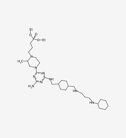 CCOP(=O)(CCCN1CCN(c2nc(N)nc(NCC3CCC(CNCCCNC4CCCCC4)CC3)n2)CC1C)OCC